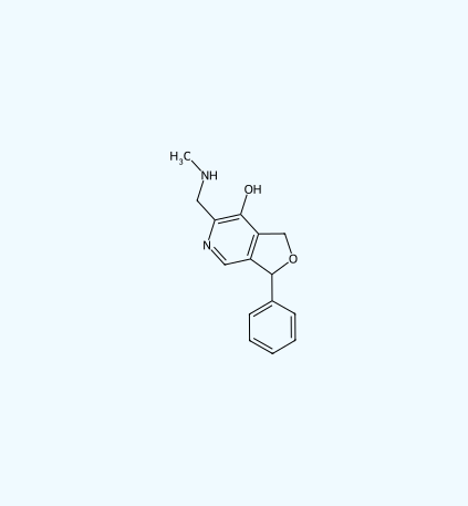 CNCc1ncc2c(c1O)COC2c1ccccc1